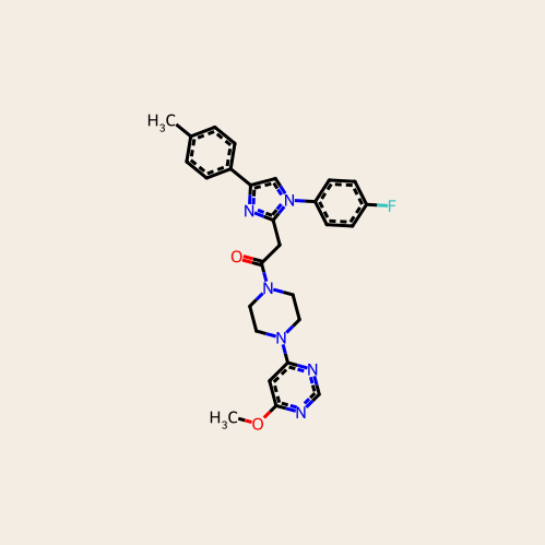 COc1cc(N2CCN(C(=O)Cc3nc(-c4ccc(C)cc4)cn3-c3ccc(F)cc3)CC2)ncn1